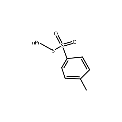 CCCSS(=O)(=O)c1ccc(C)cc1